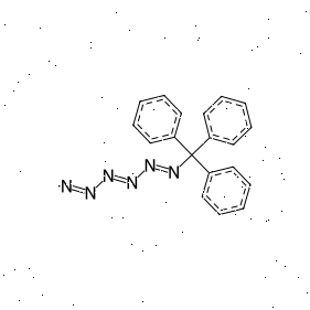 [N]=NN=NN=NC(c1ccccc1)(c1ccccc1)c1ccccc1